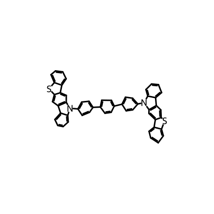 c1ccc2c(c1)sc1cc3c4ccccc4n(-c4ccc(-c5ccc(-c6ccc(-n7c8ccccc8c8cc9sc%10ccccc%10c9cc87)cc6)cc5)cc4)c3cc12